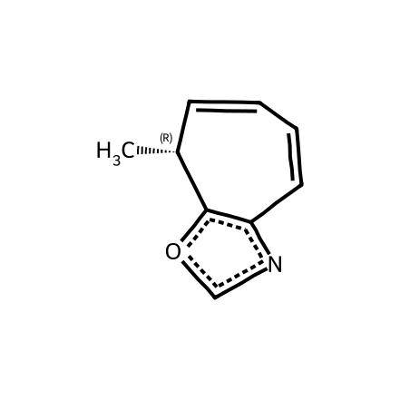 C[C@@H]1C=CC=Cc2ncoc21